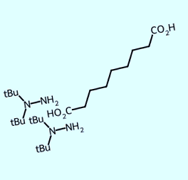 CC(C)(C)N(N)C(C)(C)C.CC(C)(C)N(N)C(C)(C)C.O=C(O)CCCCCCCC(=O)O